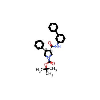 CC(C)(C)OC(=O)N1C[C@@H](C(=O)Nc2cccc(-c3ccccc3)c2)[C@H](c2ccccc2)C1